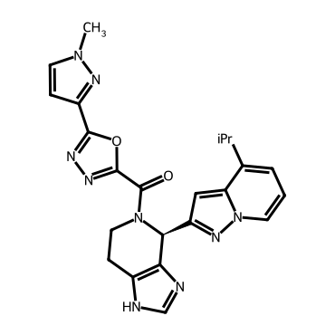 CC(C)c1cccn2nc([C@H]3c4nc[nH]c4CCN3C(=O)c3nnc(-c4ccn(C)n4)o3)cc12